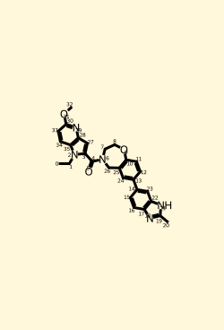 CCn1c(C(=O)N2CCOc3ccc(-c4ccc5nc(C)[nH]c5c4)cc3C2)cc2nc(OC)ccc21